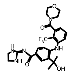 CC(C)(O)c1cc(C(=O)N=C2NCCN2)ccc1Nc1cccc(C(=O)N2CCOCC2)c1C(F)(F)F